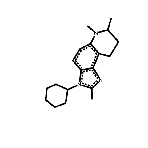 Cc1nc2c3c(ccc2n1C1CCCCC1)N(C)C(C)CC3